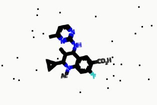 CC(=O)N1c2cc(F)c(C(=O)O)cc2C(Nc2nccc(C)n2)C(C)C1C1CC1